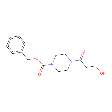 O=C(CCO)N1CCN(C(=O)OCc2ccccc2)CC1